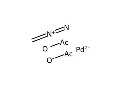 C=[N+]=[N-].CC(=O)[O-].CC(=O)[O-].[Pd+2]